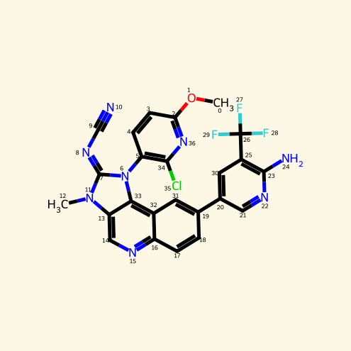 COc1ccc(-n2c(=NC#N)n(C)c3cnc4ccc(-c5cnc(N)c(C(F)(F)F)c5)cc4c32)c(Cl)n1